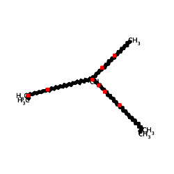 CCCCCCCCCCCCCCCCCCCCCCCCCC(C)(CCCCCCCCCCCCCCCCCCCCCCCCCCCCCCCC(C)CC)CCCCCCCCCCCCCCCCCCCCCCCCCCCCCC(C)CC